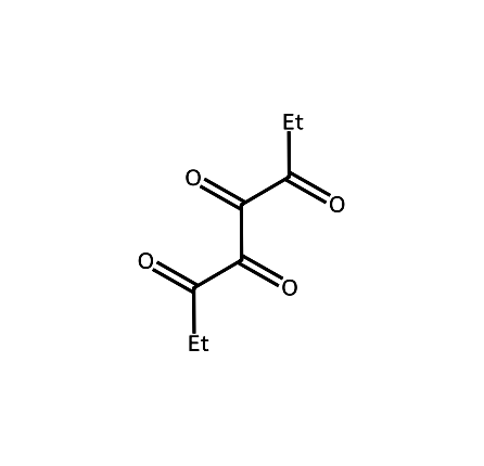 CCC(=O)C(=O)C(=O)C(=O)CC